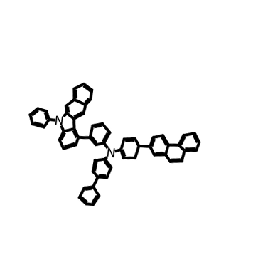 C1=CC(c2ccc3c(ccc4ccccc43)c2)CC=C1N(c1ccc(-c2ccccc2)cc1)c1cccc(-c2cccc3c2c2cc4ccccc4cc2n3-c2ccccc2)c1